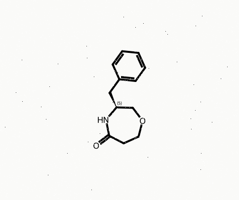 O=C1CCOC[C@H](Cc2ccccc2)N1